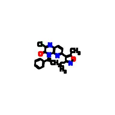 Cc1noc(C)c1-c1ccc2nc(Cl)c(=O)n([C@@H](C)c3ccccc3)c2n1